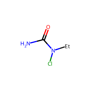 CCN(Cl)C(N)=O